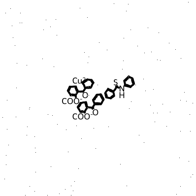 O=C([O-])c1ccccc1C(=O)c1ccccc1.O=C([O-])c1ccccc1C(=O)c1ccccc1.S=C(Nc1ccccc1)c1ccccc1.[Cu+2]